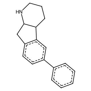 c1ccc(-c2ccc3c(c2)C2CCCNC2C3)cc1